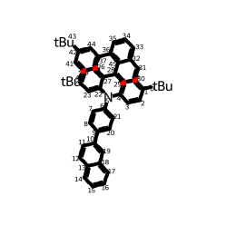 CC(C)(C)c1ccc(N(c2ccc(-c3ccc4ccccc4c3)cc2)c2ccccc2-c2cccc3cccc(-c4cc(C(C)(C)C)cc(C(C)(C)C)c4)c23)cc1